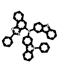 c1ccc(-c2nc3c(N(c4ccc5sc6ccccc6c5c4)c4ccc5c6ccccc6n(-c6ccccc6)c5c4)cc4ccccc4c3o2)cc1